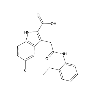 CCc1ccccc1NC(=O)Cc1c(C(=O)O)[nH]c2ccc(Cl)cc12